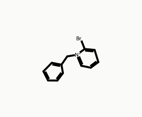 Brc1cccc[n+]1Cc1ccccc1